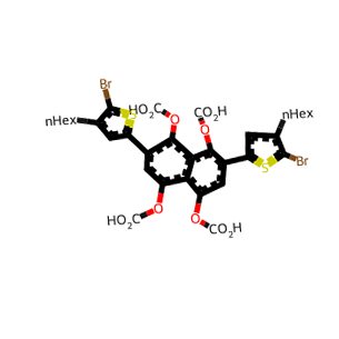 CCCCCCc1cc(-c2cc(OC(=O)O)c3c(OC(=O)O)cc(-c4cc(CCCCCC)c(Br)s4)c(OC(=O)O)c3c2OC(=O)O)sc1Br